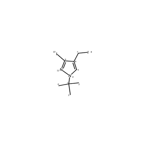 CC(C)(C)n1cc(CI)c(I)n1